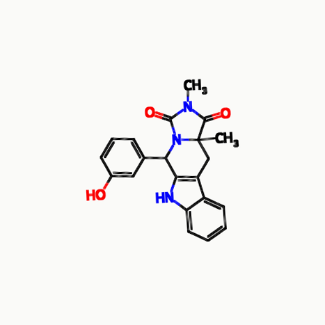 CN1C(=O)N2C(c3cccc(O)c3)c3[nH]c4ccccc4c3CC2(C)C1=O